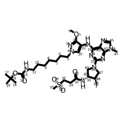 COc1nn(CCCCCCCNC(=O)OC(C)(C)C)cc1Nc1nc(N2C[C@@H](F)[C@H](NC(=O)CCS(C)(=O)=O)C2)nc2c1ncn2C